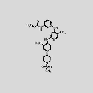 C=CC(=O)Nc1cccc(Nc2nc(Nc3ccc(C4CCN(S(C)(=O)=O)CC4)cc3OC)ncc2C)c1